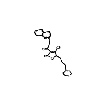 O=C(Cc1ccc2ccccc2c1)C1=C(O)C(CCCN2CCOCC2)OC1=O